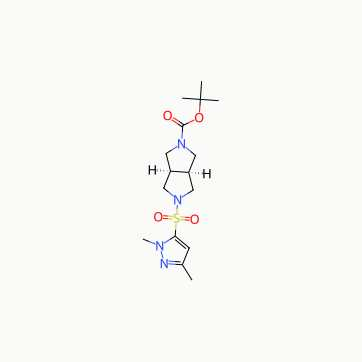 Cc1cc(S(=O)(=O)N2C[C@H]3CN(C(=O)OC(C)(C)C)C[C@H]3C2)n(C)n1